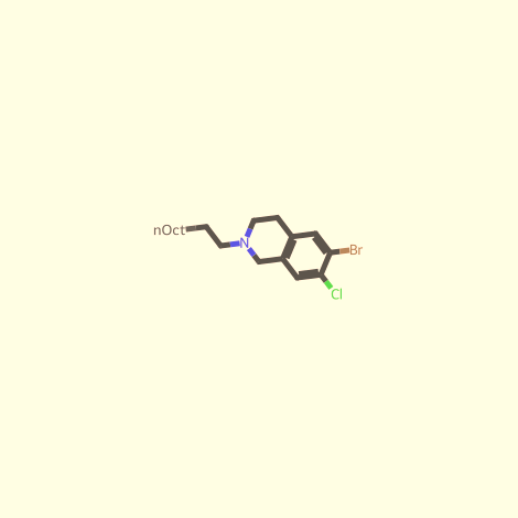 CCCCCCCCCCN1CCc2cc(Br)c(Cl)cc2C1